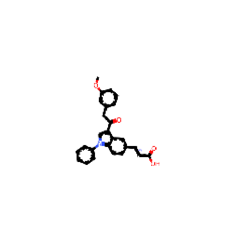 COc1cccc(CC(=O)c2cn(-c3ccccc3)c3ccc(/C=C/C(=O)O)cc23)c1